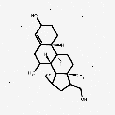 CC1CC2=CC(O)CC[C@@H]2[C@H]2CC[C@]3(C)C(CO)CC4C[C@@]43[C@H]12